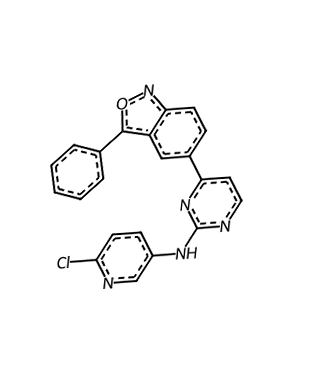 Clc1ccc(Nc2nccc(-c3ccc4noc(-c5ccccc5)c4c3)n2)cn1